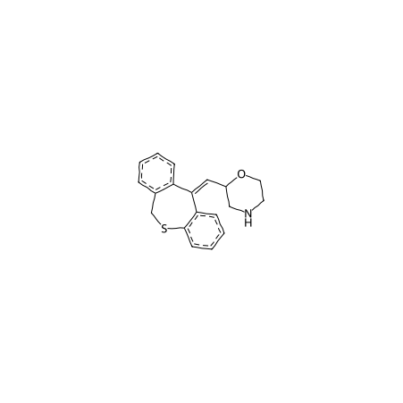 C(=C1c2ccccc2CSc2ccccc21)C1CNCCO1